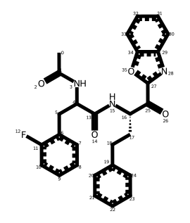 CC(=O)NC(Cc1ccccc1F)C(=O)N[C@@H](CCc1ccccc1)C(=O)c1nc2ccccc2o1